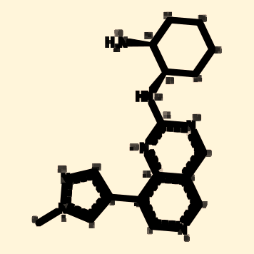 Cn1cc(-c2cncc3cnc(N[C@@H]4CCCC[C@@H]4N)nc23)cn1